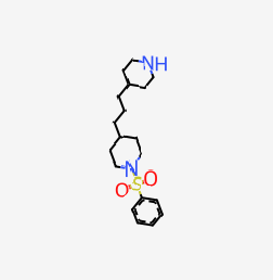 O=S(=O)(c1ccccc1)N1CCC(CCCC2CCNCC2)CC1